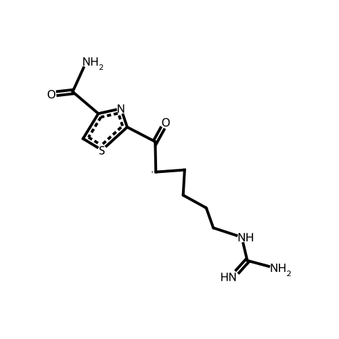 N=C(N)NCCCC[CH]C(=O)c1nc(C(N)=O)cs1